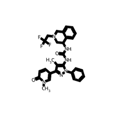 Cc1c(-c2ccc(=O)n(C)c2)nn(-c2ccccc2)c1NC(=O)NC1CN(CC(F)(F)F)Cc2ccccc21